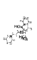 CCCC(NCCCN1CCCCC1)C(O)c1ccccc1.Cl.Cl